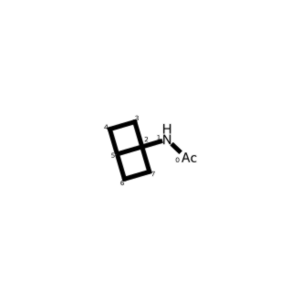 CC(=O)NC12CCC1CC2